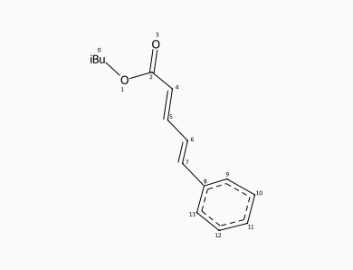 CCC(C)OC(=O)C=CC=Cc1ccccc1